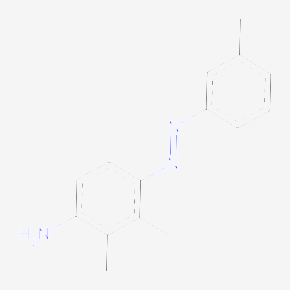 Cc1cccc(/N=N/c2ccc(N)c(C)c2C)c1